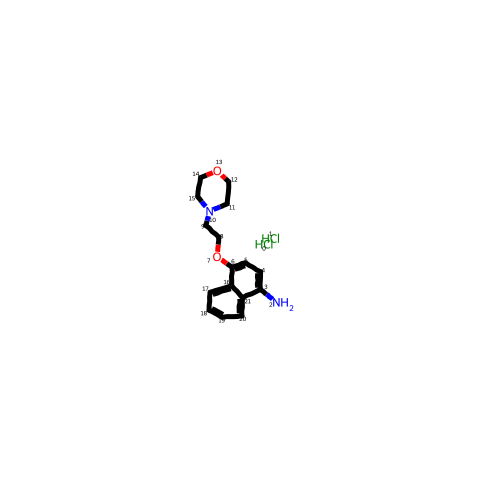 Cl.Cl.Nc1ccc(OCCN2CCOCC2)c2ccccc12